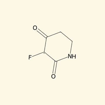 O=C1CCNC(=O)[C]1F